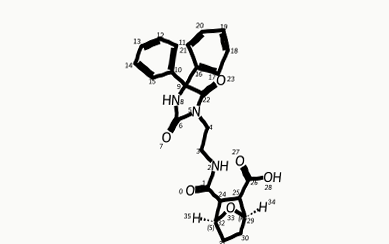 O=C(NCCN1C(=O)NC(c2ccccc2)(c2ccccc2)C1=O)C1C(C(=O)O)[C@H]2CC[C@@H]1O2